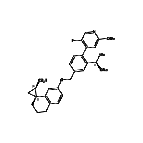 COc1cc(-c2ccc(COc3ccc4c(c3)[C@]3(CCC4)C[C@H]3C(=O)O)cc2[C@H](OC)C(C)(C)C)c(F)cn1